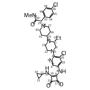 CC[C@H]1CN(c2ncc(Nc3c(NC4CC4)c(=O)c3=O)cc2Cl)CCN1C1CCN([C@H](C(=O)NC)c2ccc(Cl)cc2)CC1